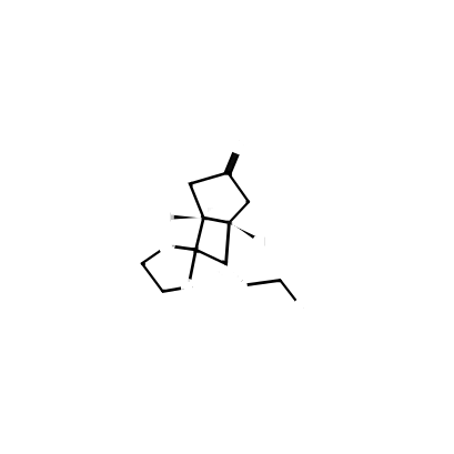 O=C1C[C@H]2[C@@H](C1)C1(OCCO1)[C@H]2CCBr